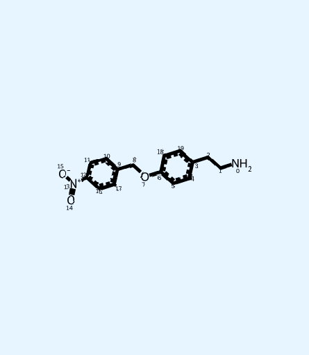 NCCc1ccc(OCc2ccc([N+](=O)[O-])cc2)cc1